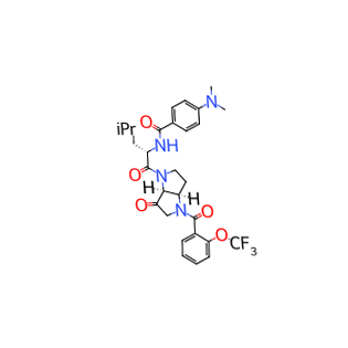 CC(C)C[C@H](NC(=O)c1ccc(N(C)C)cc1)C(=O)N1CC[C@@H]2[C@H]1C(=O)CN2C(=O)c1ccccc1OC(F)(F)F